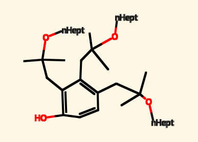 CCCCCCCOC(C)(C)Cc1ccc(O)c(CC(C)(C)OCCCCCCC)c1CC(C)(C)OCCCCCCC